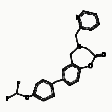 O=C1CN(Cc2ccccn2)Cc2cc(-c3ccc(OC(F)F)cc3)ccc2O1